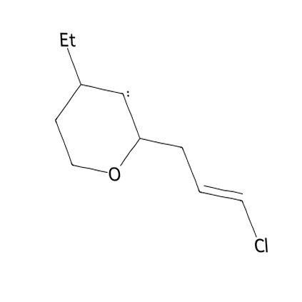 CCC1[C]C(CC=CCl)OCC1